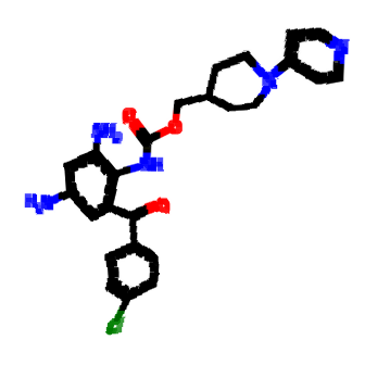 Nc1cc(N)c(NC(=O)OCC2CCN(c3ccncc3)CC2)c(C(=O)c2ccc(Cl)cc2)c1